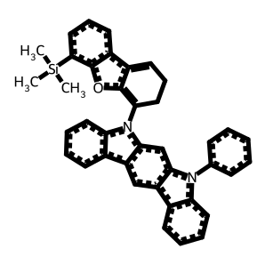 C[Si](C)(C)c1cccc2c3c(oc12)=C(n1c2ccccc2c2cc4c5ccccc5n(-c5ccccc5)c4cc21)CCC=3